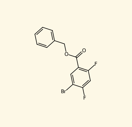 O=C(OCc1ccccc1)c1cc(Br)c(F)cc1F